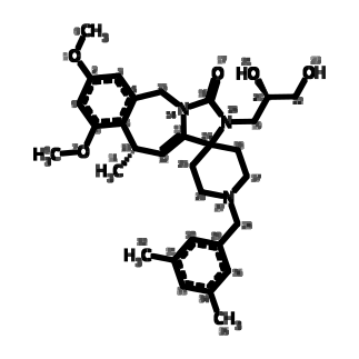 COc1cc2c(c(OC)c1)[C@@H](C)C=C1N(C2)C(=O)N(C[C@@H](O)CO)C12CCN(Cc1cc(C)cc(C)c1)CC2